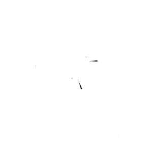 Cc1cc(C)cc(P(c2cc(C)cc(C)c2)C(C)[C@H]2CCC[C@H]2P(c2cccc3ccccc23)c2cccc3ccccc23)c1